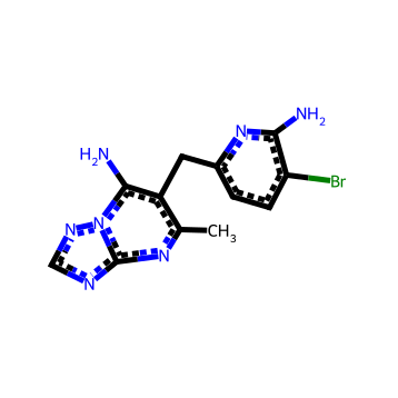 Cc1nc2ncnn2c(N)c1Cc1ccc(Br)c(N)n1